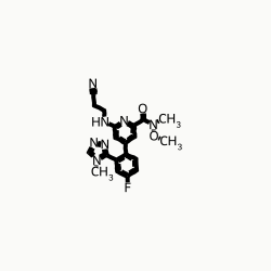 CON(C)C(=O)c1cc(-c2ccc(F)cc2-c2nncn2C)cc(NCCC#N)n1